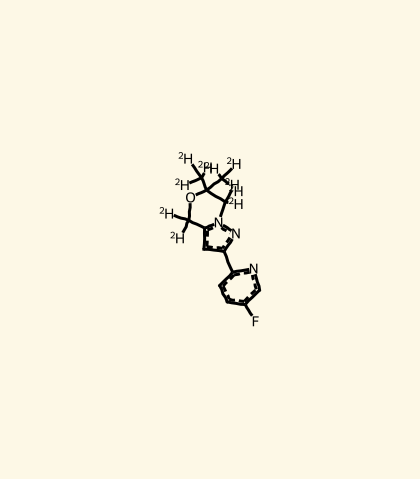 [2H]C1([2H])OC(C([2H])([2H])[2H])(C([2H])([2H])[2H])C([2H])([2H])n2nc(-c3ccc(F)cn3)cc21